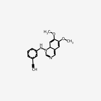 C#Cc1cccc(NN2C=NC=C3C=C(OC)C(OC)=CC32)c1